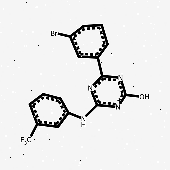 Oc1nc(Nc2cccc(C(F)(F)F)c2)nc(-c2cccc(Br)c2)n1